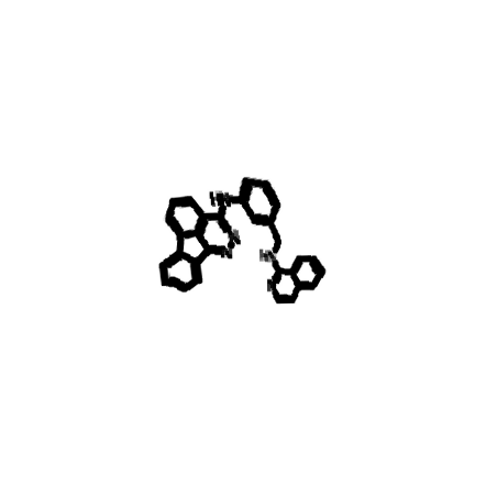 c1cc(CNc2nccc3ccccc23)cc(Nc2nnc3c4c(cccc24)-c2ccccc2-3)c1